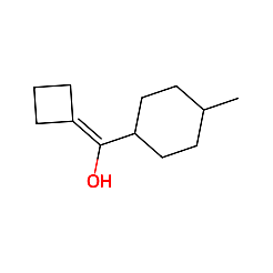 CC1CCC(C(O)=C2CCC2)CC1